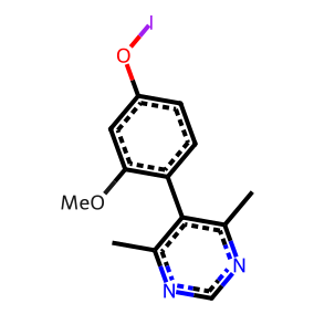 COc1cc(OI)ccc1-c1c(C)ncnc1C